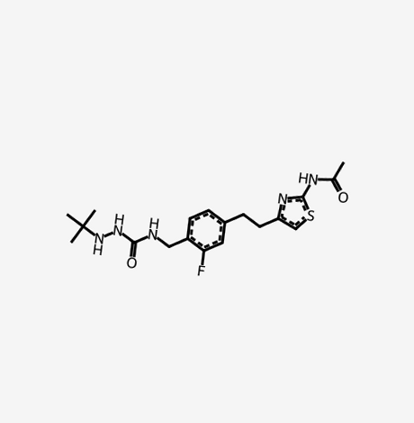 CC(=O)Nc1nc(CCc2ccc(CNC(=O)NNC(C)(C)C)c(F)c2)cs1